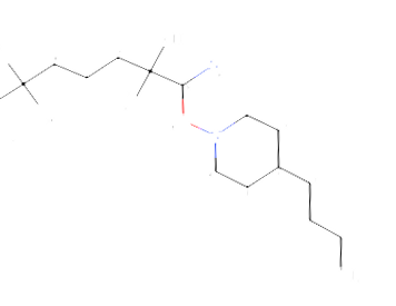 CCCCC1CCN(OC(N)C(C)(C)CCCC(C)(C)CC)CC1